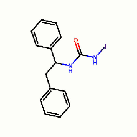 O=C(NI)NC(Cc1ccccc1)c1ccccc1